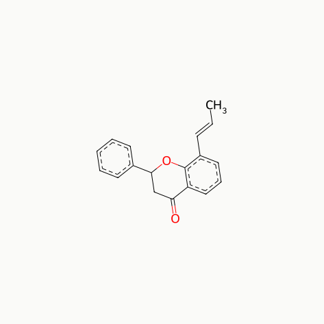 CC=Cc1cccc2c1OC(c1ccccc1)CC2=O